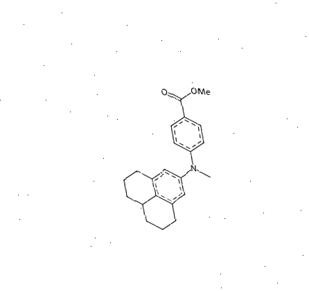 COC(=O)c1ccc(N(C)c2cc3c4c(c2)CCCC4CCC3)cc1